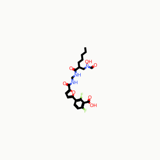 CCCCCC(CN(O)C=O)C(=O)NCNC(=O)c1ccc(-c2ccc(F)c(C(=O)O)c2F)o1